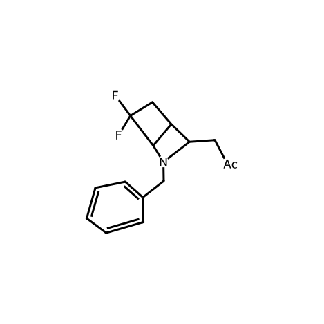 CC(=O)CC1C2CC(F)(F)C2N1Cc1ccccc1